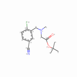 CN(CC(=O)OC(C)(C)C)Cc1cc(C#N)ccc1F